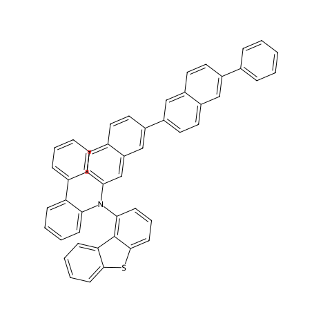 c1ccc(-c2ccc3cc(-c4ccc5ccc(N(c6ccccc6-c6ccccc6)c6cccc7sc8ccccc8c67)cc5c4)ccc3c2)cc1